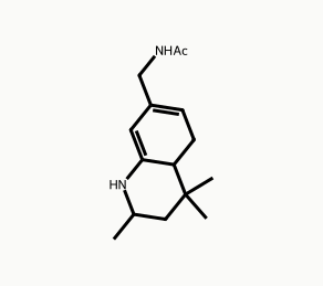 CC(=O)NCC1=CCC2C(=C1)NC(C)CC2(C)C